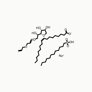 C=CCOCC=C.CCCCCCCC/C=C\CCCCCCCC(=O)[O-].CCCCCCCCCCCCS(=O)(=O)O.OC[C@@H](O)[C@H]1OC[C@H](O)[C@H]1O.[Na+]